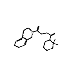 C=C(CCC(=C)N1CCCCC1(C)C)N1CCC2=CCCC=C2C1